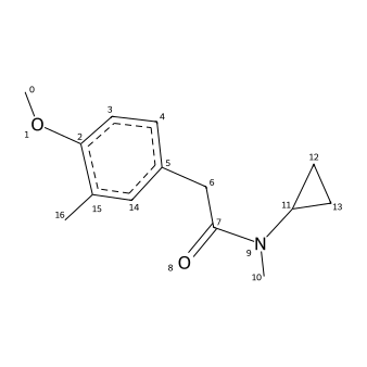 COc1ccc(CC(=O)N(C)C2CC2)cc1C